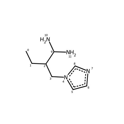 CCC(Cn1ccnc1)C(N)N